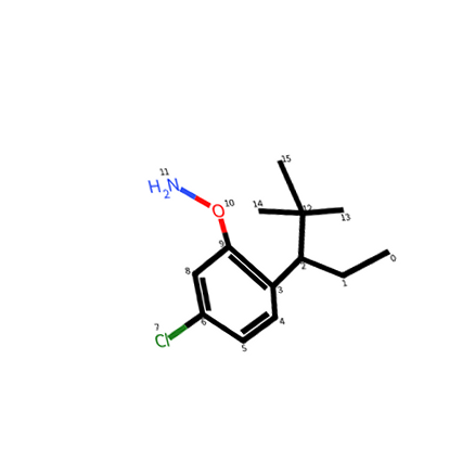 CCC(c1ccc(Cl)cc1ON)C(C)(C)C